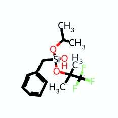 CC(C)O[Si](O)(Cc1ccccc1)OC(C)(C)C(F)(F)F